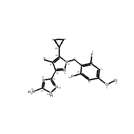 CCOc1cc(F)c(Cn2nc(-c3n[nH]c(N)n3)c(C)c2C2CC2)c(F)c1